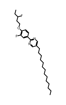 CCCCCCCCCCCCCCc1cnc(-c2ccc(OCCC(F)CC)c(F)c2)nc1